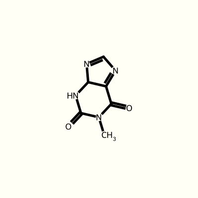 CN1C(=O)NC2N=CN=C2C1=O